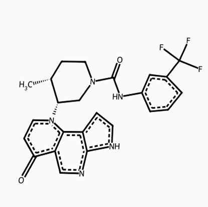 C[C@@H]1CCN(C(=O)Nc2cccc(C(F)(F)F)c2)C[C@@H]1n1ccc(=O)c2cnc3[nH]ccc3c21